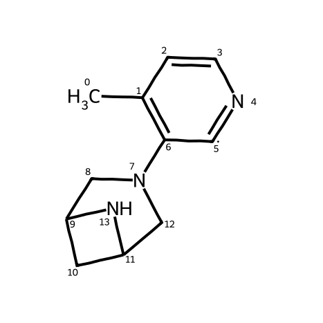 Cc1ccn[c]c1N1CC2CC(C1)N2